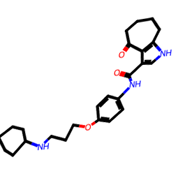 O=C(Nc1ccc(OCCCNC2CCCCC2)cc1)c1c[nH]c2c1C(=O)CCCC2